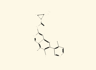 Cc1ccncc1-c1cc2cc(NC(=O)[C@H]3C[C@@H]3C#N)ncc2c(Cl)c1F